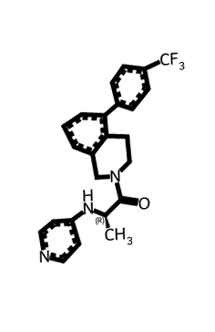 C[C@@H](Nc1ccncc1)C(=O)N1CCc2c(cccc2-c2ccc(C(F)(F)F)cc2)C1